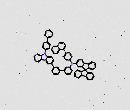 c1ccc(-c2ccc(-n3c4ccccc4c4cc(-c5cccc(-c6cccc(N(c7ccc(-c8cccc9ccccc89)cc7)c7ccc8c(c7)C7(c9ccccc9-c9ccccc97)c7ccccc7-8)c6)c5)ccc43)cc2)cc1